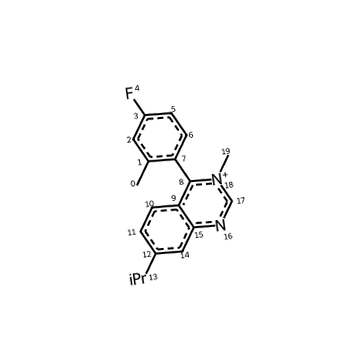 Cc1cc(F)ccc1-c1c2ccc(C(C)C)cc2nc[n+]1C